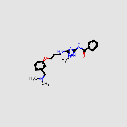 CN(C)Cc1cccc(OCCCNc2nc(NC(=O)c3ccccc3)nn2C)c1